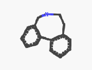 c1ccc2c(c1)CC[N]Cc1ccccc1-2